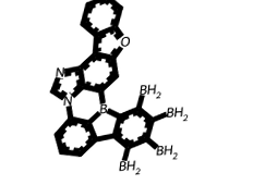 Bc1c(B)c(B)c2c(c1B)B1c3c-2cccc3-n2cnc3c4c(cc1c32)oc1ccccc14